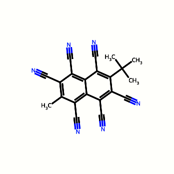 Cc1c(C#N)c(C#N)c2c(C#N)c(C(C)(C)C)c(C#N)c(C#N)c2c1C#N